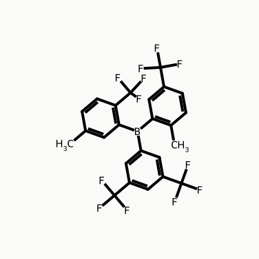 Cc1ccc(C(F)(F)F)c(B(c2cc(C(F)(F)F)cc(C(F)(F)F)c2)c2cc(C(F)(F)F)ccc2C)c1